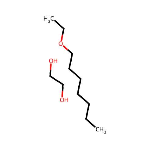 CCCCCCCOCC.OCCO